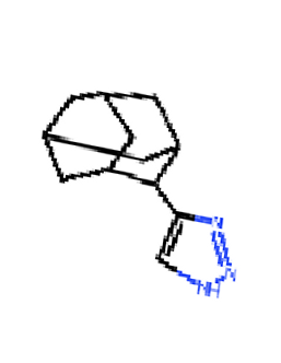 c1[nH]nnc1C1C2CC3CC(C2)CC1C3